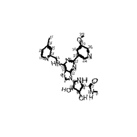 CNC(=O)[C@H]1N[C@@H](n2cnc3c(NCc4cc(C)ccn4)nc(-c4cncc(OC)c4)nc32)[C@H](O)[C@@H]1O